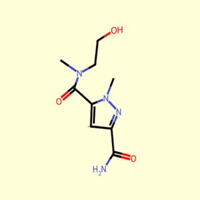 CN(CCO)C(=O)c1[c]c(C(N)=O)nn1C